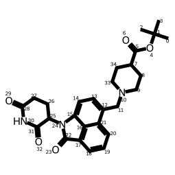 CC(C)(C)OC(=O)C1CCN(Cc2ccc3c4c(cccc24)C(=O)N3C2CCC(=O)NC2=O)CC1